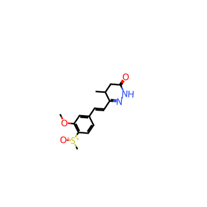 COc1cc(C=CC2=NNC(=O)CC2C)ccc1[S+](C)[O-]